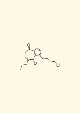 CCCN1CCC(=O)c2ccn(CCCCCl)c2C1=O